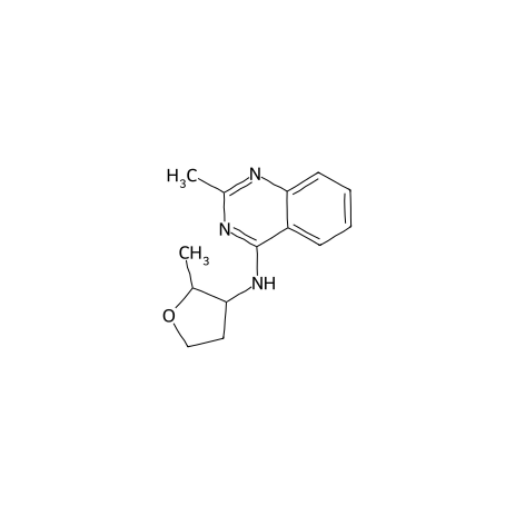 Cc1nc(NC2CCOC2C)c2ccccc2n1